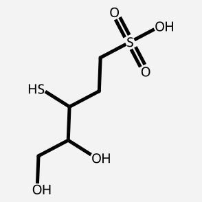 O=S(=O)(O)CCC(S)C(O)CO